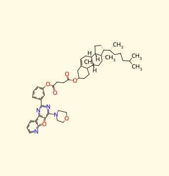 CC(C)CCC[C@@H](C)[C@H]1CC[C@H]2[C@@H]3CC=C4CC(OC(=O)CCC(=O)Oc5cccc(-c6nc(N7CCOCC7)c7oc8ncccc8c7n6)c5)CC[C@]4(C)[C@H]3CC[C@]12C